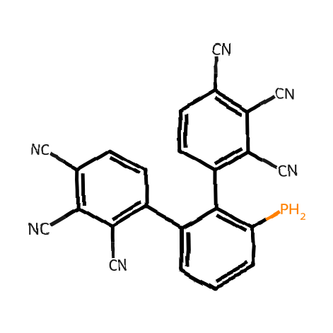 N#Cc1ccc(-c2cccc(P)c2-c2ccc(C#N)c(C#N)c2C#N)c(C#N)c1C#N